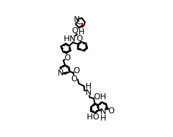 O=C(NC(c1ccccc1)c1cccc(OCc2cncc(C(=O)OCCCCNC[C@@H](O)c3ccc(O)c4[nH]c(=O)ccc34)c2)c1)O[C@H]1CN2CCC1CC2